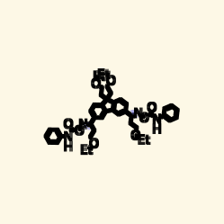 CCOCC/C(=N\OC(=O)Nc1ccccc1)c1ccc2c(c1)-c1cc(/C(CCOCC)=N/OC(=O)Nc3ccccc3)ccc1C2(CCOCC)CCOCC